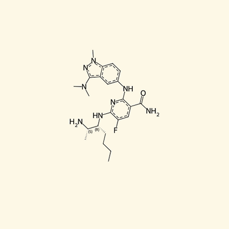 CCCC[C@@H](Nc1nc(Nc2ccc3c(c2)c(N(C)C)nn3C)c(C(N)=O)cc1F)[C@H](C)N